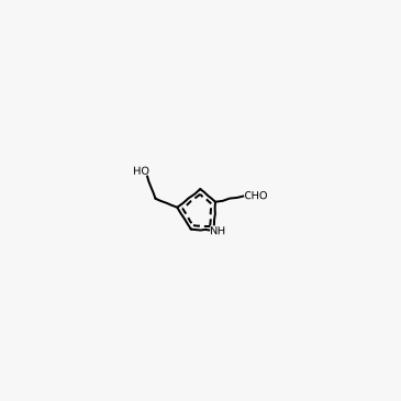 O=Cc1cc(CO)c[nH]1